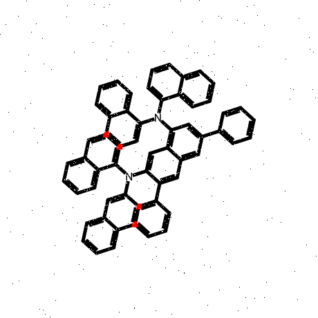 c1ccc(-c2cc(N(c3cccc4ccccc34)c3cccc4ccccc34)c3cc(N(c4ccc5ccccc5c4)c4cccc5ccccc45)c(-c4ccccc4)cc3c2)cc1